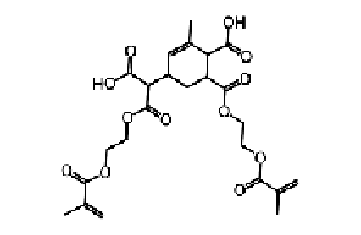 C=C(C)C(=O)OCCOC(=O)C1CC(C(C(=O)O)C(=O)OCCOC(=O)C(=C)C)C=C(C)C1C(=O)O